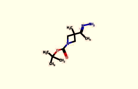 C/C(=N\N)C1(C)CN(C(=O)OC(C)(C)C)C1